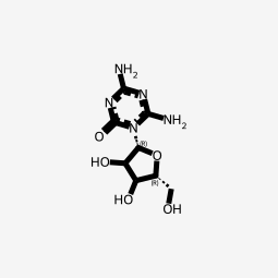 Nc1nc(N)n([C@@H]2O[C@H](CO)C(O)C2O)c(=O)n1